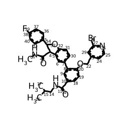 CNC(=O)C1c2cc(-c3cc(C(=O)NCC(C)C)ccc3OCc3ccnc(Br)c3)ccc2OC1c1ccc(F)cc1